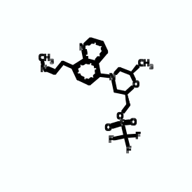 C/N=C\Cc1ccc(N2C[C@H](COS(=O)(=O)C(F)(F)F)O[C@H](C)C2)c2cccnc12